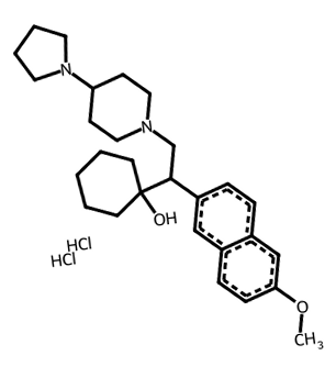 COc1ccc2cc(C(CN3CCC(N4CCCC4)CC3)C3(O)CCCCC3)ccc2c1.Cl.Cl